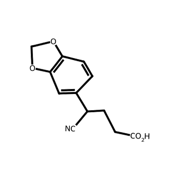 N#CC(CCC(=O)O)c1ccc2c(c1)OCO2